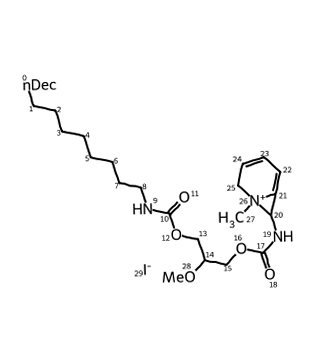 CCCCCCCCCCCCCCCCCCNC(=O)OCC(COC(=O)NC1C2=CC=CC[N+]21C)OC.[I-]